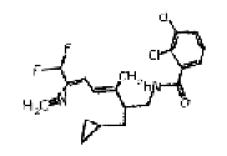 C=N/C(=C\C=C(/C)C(CNC(=O)c1cccc(Cl)c1Cl)CC1CC1)C(F)F